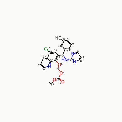 CC(C)OC(=O)OCOc1c(C(Nc2ncccn2)c2cccc(C#N)c2)cc(Cl)c2cccnc12